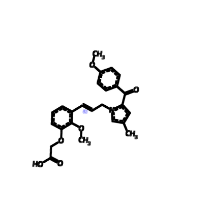 COc1ccc(C(=O)c2cc(C)cn2C/C=C/c2cccc(OCC(=O)O)c2OC)cc1